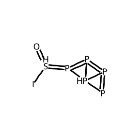 O=[SH](I)=P1=P2=P3=P[PH]321